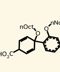 CCCCCCCCCOc1ccccc1C1(OCCCCCCCC)C=CC(C(=O)O)C=C1